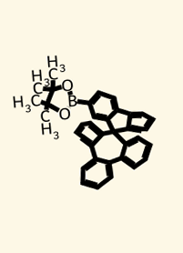 CC1(C)OB(c2ccc3c(c2)C2(c4ccccc4-c4ccccc4-c4ccccc42)c2ccccc2-3)OC1(C)C